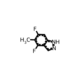 Cc1c(F)cc2[nH]ncc2c1F